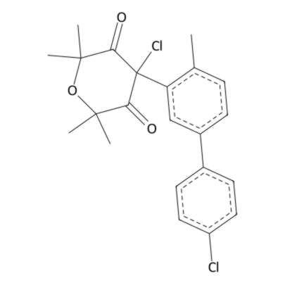 Cc1ccc(-c2ccc(Cl)cc2)cc1C1(Cl)C(=O)C(C)(C)OC(C)(C)C1=O